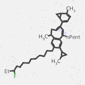 CCCCC/C1=C/C(C2=CC=C(C)C3CC23)=C/CC(C)c2cc(CCCCCCCCCCC(F)CC)c(C3CC3C)cc21